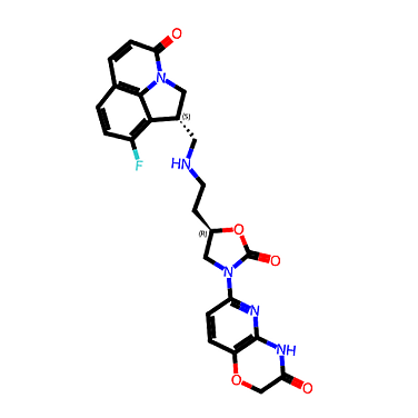 O=C1COc2ccc(N3C[C@@H](CCNC[C@H]4Cn5c(=O)ccc6ccc(F)c4c65)OC3=O)nc2N1